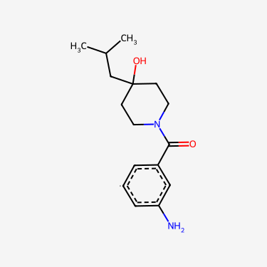 CC(C)CC1(O)CCN(C(=O)c2c[c]cc(N)c2)CC1